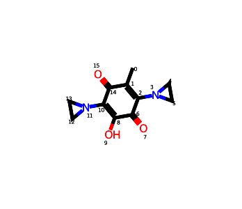 CC1=C(N2CC2)C(=O)C(O)=C(N2CC2)C1=O